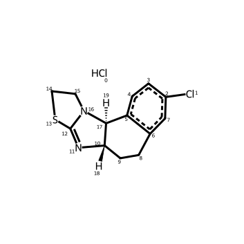 Cl.Clc1ccc2c(c1)CC[C@@H]1N=C3SCCN3[C@@H]21